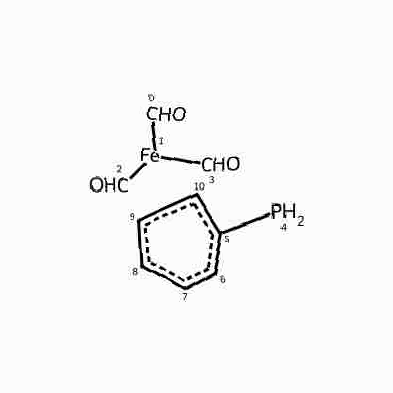 O=[CH][Fe]([CH]=O)[CH]=O.Pc1ccccc1